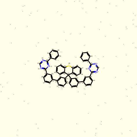 c1ccc(-c2ncnc(-c3cccc(-c4cccc(C5(c6cccc(-c7cccc(-c8ncnc(-c9ccccc9)n8)c7)c6)c6ccccc6Sc6ccccc65)c4)c3)n2)cc1